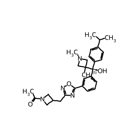 CC(=O)N1CC(Cc2noc(-c3cccc([C@@](O)(c4ccc(C(C)C)cc4)C4(C)CN(C)C4)c3)n2)C1